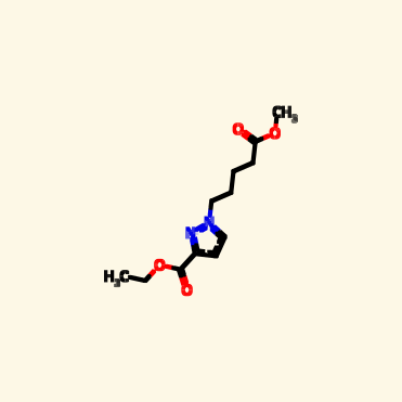 CCOC(=O)c1ccn(CCCCC(=O)OC)n1